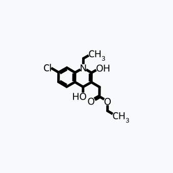 CCOC(=O)CC1=C(O)N(CC)c2cc(Cl)ccc2C1O